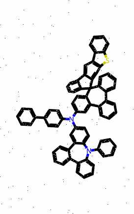 c1ccc(-c2ccc(N(c3ccc4c(c3)-c3ccccc3-c3ccccc3N4c3ccccc3)c3ccc4c(c3)-c3ccccc3-c3ccccc3C43c4ccccc4-c4cc5c(cc43)sc3ccccc35)cc2)cc1